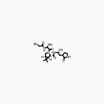 CC(C)(C)CC(=O)NC(C(=O)N1C[C@H]2[C@@H]([C@H]1C(=O)N[C@H](C#N)CC1CCNC1=O)C2(C)C)C(C)(C)C